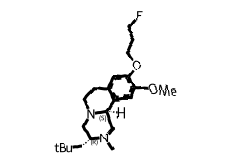 COc1cc2c(cc1OCCCF)CCN1C[C@@H](CC(C)(C)C)N(C)C[C@H]21